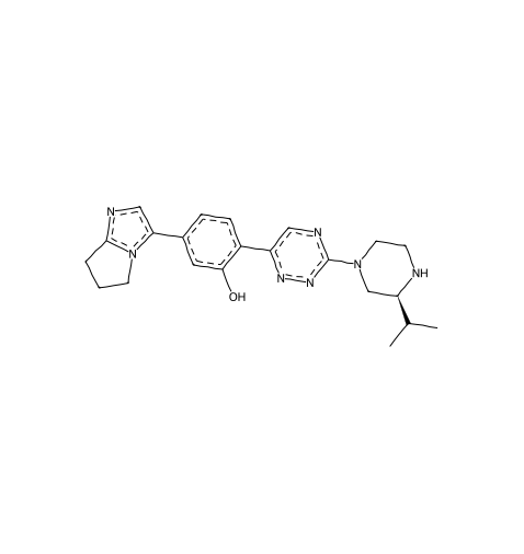 CC(C)[C@H]1CN(c2ncc(-c3ccc(-c4cnc5n4CCC5)cc3O)nn2)CCN1